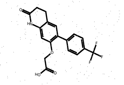 O=C(O)COc1cc2c(cc1-c1ccc(C(F)(F)F)cc1)CCC(=O)N2